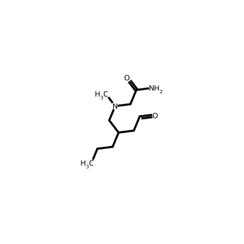 CCCC(CC=O)CN(C)CC(N)=O